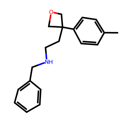 Cc1ccc(C2(CCNCc3ccccc3)COC2)cc1